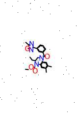 CCOC(=O)N1c2cc(C)c(C)cc2N(C(=O)c2cccc(-c3noc(C)n3)c2)CC1CC